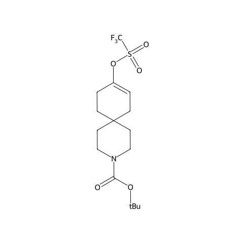 CC(C)(C)OC(=O)N1CCC2(CC=C(OS(=O)(=O)C(F)(F)F)CC2)CC1